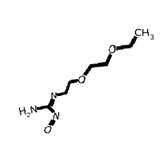 CCOCCOCCN=C(N)N=O